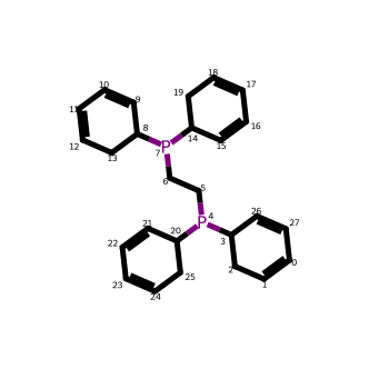 C1=CCC(P(CCP(C2C=CC=CC2)C2C=CC=CC2)C2C=CC=CC2)C=C1